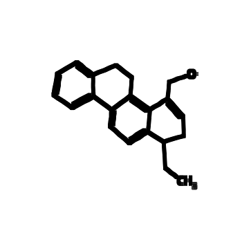 CCC1CC=C(C[O])c2c1ccc1c2CCc2ccccc2-1